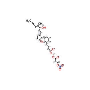 CC#CCC(C)C(O)/C=C/C1CCC2Oc3c(CCCC(=O)OCOC(=O)CCO[N+](=O)[O-])cccc3C12